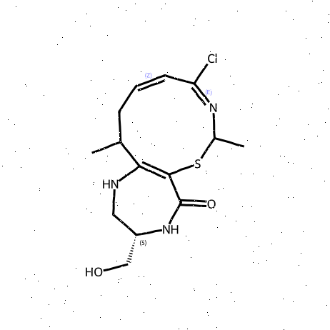 CC1/N=C(Cl)\C=C/CC(C)C2=C(S1)C(=O)N[C@H](CO)CN2